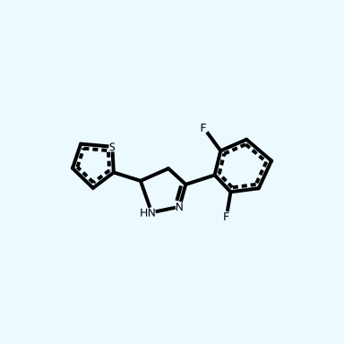 Fc1cccc(F)c1C1=NNC(c2cccs2)C1